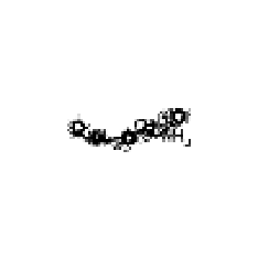 N[C@H](CC(=O)OC(=O)c1ccc(OCCc2cn(Cc3ccccc3)cn2)cc1)NS(=O)(=O)c1ccccc1